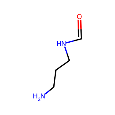 NCCCNC=O